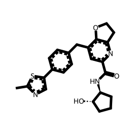 Cc1ncc(-c2ccc(Cc3cc(C(=O)N[C@H]4CCC[C@@H]4O)nc4c3OCC4)cc2)s1